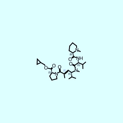 C/C(=C\[C@H](C(C)C)N(C)C(=O)[C@@H](NC(=O)[C@H]1CCCCN1C)C(C)C)C(=O)N1CCC[C@H]1C(=O)OCC1CC1